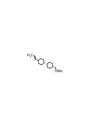 C/C=C/C1CCC([C@H]2CC[C@H](COC)CC2)CC1